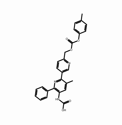 Cc1ccc(OC(=O)OCc2ccc(-c3nc(-c4ccccc4)c(NC(=O)O)cc3C)cn2)cc1